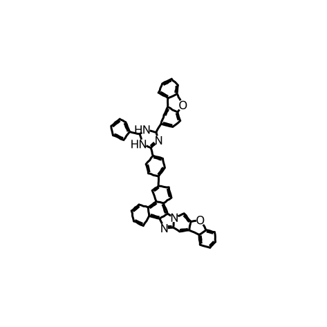 c1ccc(C2NC(c3ccc(-c4ccc5c(c4)c4ccccc4c4nc6cc7c(cn6c54)oc4ccccc47)cc3)=NC(c3ccc4oc5ccccc5c4c3)N2)cc1